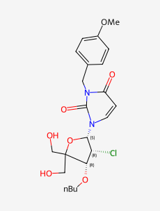 CCCCO[C@H]1[C@@H](Cl)[C@@H](n2ccc(=O)n(Cc3ccc(OC)cc3)c2=O)OC1(CO)CO